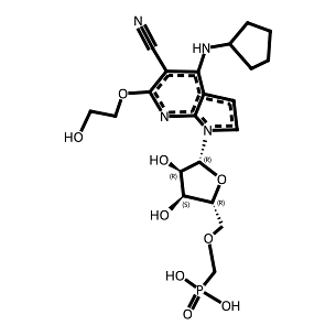 N#Cc1c(OCCO)nc2c(ccn2[C@@H]2O[C@H](COCP(=O)(O)O)[C@@H](O)[C@H]2O)c1NC1CCCC1